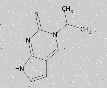 CC(C)n1cc2cc[nH]c2nc1=S